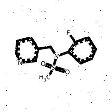 CS(=O)(=O)N(Cc1cccnc1)c1ccccc1F